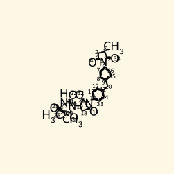 CC1CC(=O)N(c2ccc(Cc3ccc(N4C(=O)CC(N5C(=O)NC(=O)C(C)(C)C5=O)C4=O)cc3)cc2)C1=O